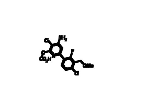 COCc1c(Cl)ccc(-c2cc(N)c(Cl)c(OC(=O)O)n2)c1F